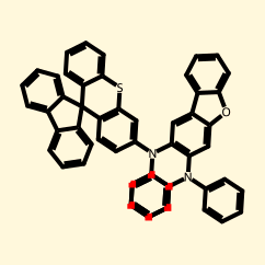 c1ccc(N(c2ccccc2)c2cc3oc4ccccc4c3cc2N(c2ccccc2)c2ccc3c(c2)Sc2ccccc2C32c3ccccc3-c3ccccc32)cc1